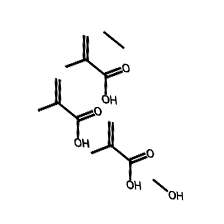 C=C(C)C(=O)O.C=C(C)C(=O)O.C=C(C)C(=O)O.CC.CO